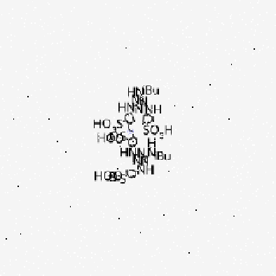 CCC(C)Nc1nc(Nc2ccc(SOOO)cc2)nc(Nc2ccc(/C=C/c3ccc(Nc4nc(Nc5ccc(S(=O)(=O)O)cc5)nc(NC(C)CC)n4)cc3S(=O)(=O)O)c(SOOO)c2)n1